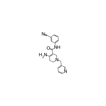 N#Cc1cccc(NC(=O)C2=C(N)CCN(Cc3cccnc3)C2)c1